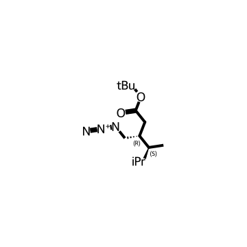 CC(C)[C@H](C)[C@H](CN=[N+]=[N-])CC(=O)OC(C)(C)C